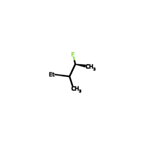 CCC(C)[C@H](C)F